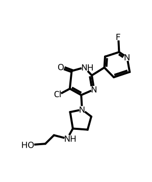 O=c1[nH]c(-c2ccnc(F)c2)nc(N2CCC(NCCO)C2)c1Cl